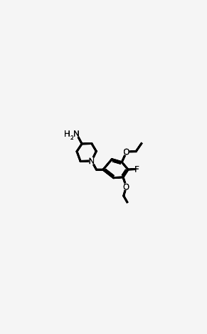 CCOc1cc(CN2CCC(N)CC2)cc(OCC)c1F